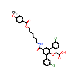 COc1ccc(C(=O)OCCCCCCNC(=O)c2cc(-c3cccc(Cl)c3)c(OCC(=O)O)c(-c3cccc(Cl)c3)c2)cc1